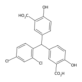 O=C(O)c1cc(C(c2ccc(O)c(C(=O)O)c2)c2ccc(Cl)cc2Cl)ccc1O